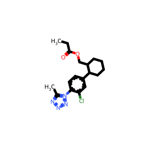 CCC(=O)OCC1CCCCC1c1ccc(-n2nnnc2C)c(Cl)c1